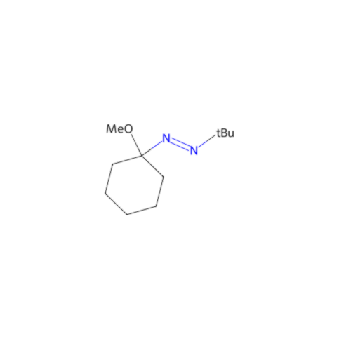 COC1(N=NC(C)(C)C)CCCCC1